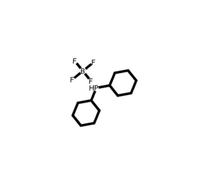 C1CCC(PC2CCCCC2)CC1.F[B-](F)(F)F